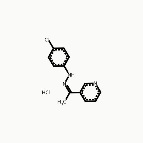 CC(=NNc1ccc(Cl)cc1)c1cccnc1.Cl